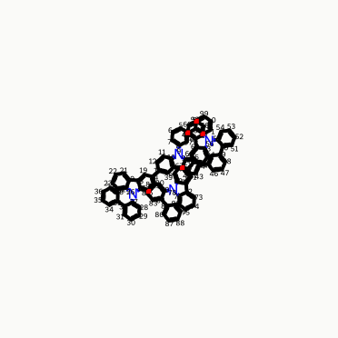 c1ccc(-c2cccc(-n3c4ccc(-c5ccc6c(c5)c5ccccc5n6-c5ccccc5-c5ccccc5)cc4c4ccc(-c5cccc(-c6ccccc6-n6c7ccccc7c7cc(-c8ccc9c(c8)c8ccccc8n9-c8ccccc8-c8ccccc8)ccc76)c5)cc43)c2)cc1